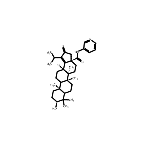 CC(C)C1=C2[C@H]3CCC4[C@@]5(C)CC[C@H](O)C(C)(C)C5CC[C@@]4(C)[C@]3(C)CC[C@@]2(C(=O)Nc2cccnc2)CC1=O